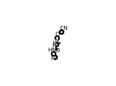 Cc1cc(C(=O)N[C@@H]2CCc3ncccc3C2)nnc1N1CCC(Oc2cccc(C#N)c2)CC1